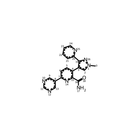 Cn1cc(-c2ccc(-c3cncnc3)nc2C(N)=O)c(-c2ccccn2)n1